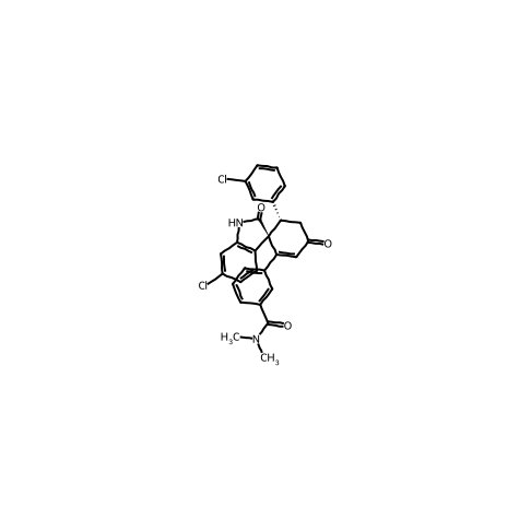 CN(C)C(=O)c1cccc(C2=CC(=O)C[C@@H](c3cccc(Cl)c3)[C@]23C(=O)Nc2cc(Cl)ccc23)c1